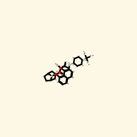 CC(C)OC(=O)C1CC2CCC(C1)N2Cc1cccc2ccc(O[C@H]3CC[C@@H](C(F)(F)F)CC3)c(C(F)(F)F)c12